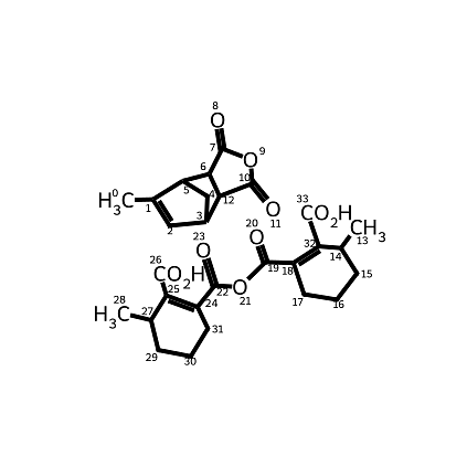 CC1=CC2CC1C1C(=O)OC(=O)C21.CC1CCCC(C(=O)OC(=O)C2=C(C(=O)O)C(C)CCC2)=C1C(=O)O